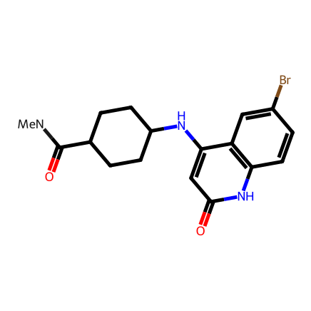 CNC(=O)C1CCC(Nc2cc(=O)[nH]c3ccc(Br)cc23)CC1